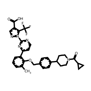 Cc1cccc(-c2ccnc(-n3ncc(C(=O)O)c3C(F)(F)F)n2)c1OCc1ccc(C2CCN(C(=O)C3CC3)CC2)cc1